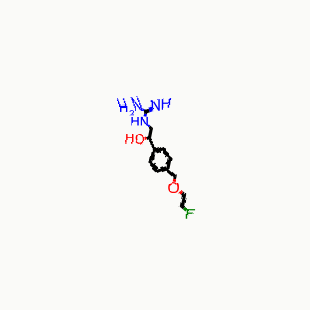 N=C(N)NCC(O)c1ccc(COCCF)cc1